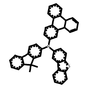 CC1(C)c2ccccc2-c2ccc(N(c3ccc4c(c3)C3C=CC=CC3c3ccccc3-4)c3ccc4sc5ccccc5c4c3)cc21